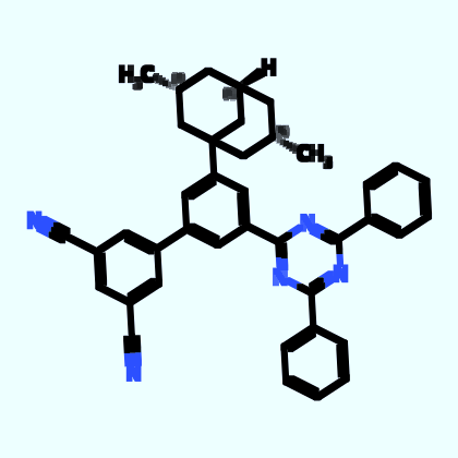 C[C@@H]1C[C@@H]2C[C@H](C)CC(c3cc(-c4cc(C#N)cc(C#N)c4)cc(-c4nc(-c5ccccc5)nc(-c5ccccc5)n4)c3)(C1)C2